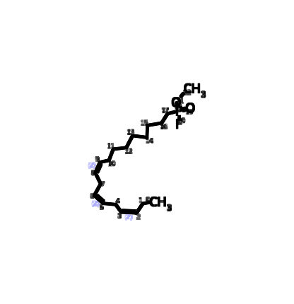 CC/C=C\C/C=C\C/C=C\CCCCCCCCP(=O)(F)OC